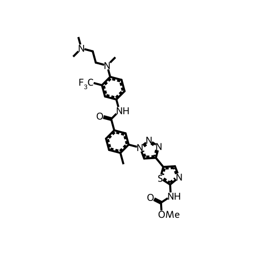 COC(=O)Nc1ncc(-c2cn(-c3cc(C(=O)Nc4ccc(N(C)CCN(C)C)c(C(F)(F)F)c4)ccc3C)nn2)s1